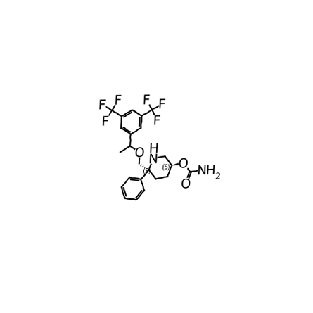 CC(OC[C@@]1(c2ccccc2)CC[C@H](OC(N)=O)CN1)c1cc(C(F)(F)F)cc(C(F)(F)F)c1